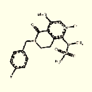 COc1c[n+]([O-])c(N(C)S(C)(=O)=O)c2c1C(=O)N(Cc1ccc(F)cc1)CC2